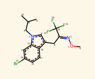 CO/N=C(\Cc1cn(CC(C)C)c2cc(Br)ccc12)C(F)(F)F